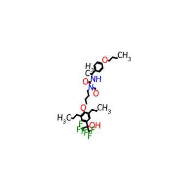 CCCCOc1ccc(C(C)NC(=O)N(C=O)CCCCOc2c(CCC)cc(C(O)(C(F)(F)F)C(F)(F)F)cc2CCC)cc1